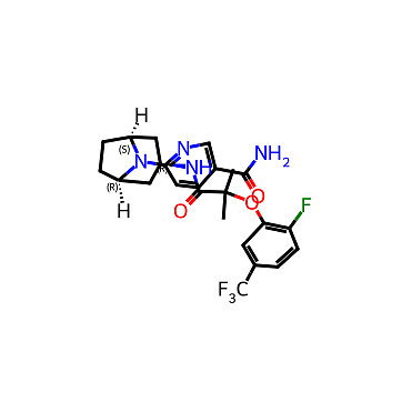 CC(C)(Oc1cc(C(F)(F)F)ccc1F)C(=O)N[C@H]1C[C@H]2CC[C@@H](C1)N2c1ccc(C(N)=O)cn1